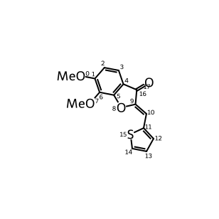 COc1ccc2c(c1OC)OC(=Cc1cccs1)C2=O